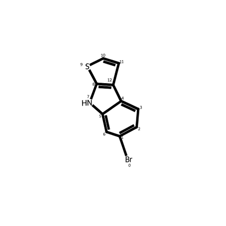 Brc1ccc2c(c1)[nH]c1sccc12